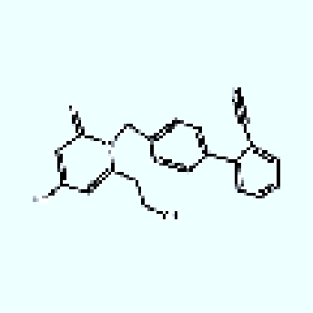 CCCc1cc(O)cc(=O)n1Cc1ccc(-c2ccccc2C#N)cc1